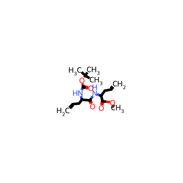 C=CCC(NC(=O)OC(C)(C)C)C(=O)NC(CC=C)C(=O)OC